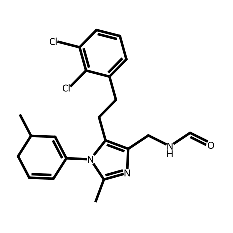 Cc1nc(CNC=O)c(CCc2cccc(Cl)c2Cl)n1C1=CC(C)CC=C1